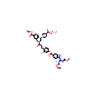 CC(C)(C)OC(=O)/N=C(/NC(=O)OC(C)(C)C)Nc1ccc(C(=O)Oc2ccc(CCC(=O)N(CCN3CCC(C(=O)OC(C)(C)C)CC3)Cc3cccc(C(=O)OC(C)(C)C)c3)c(Cl)c2)cc1